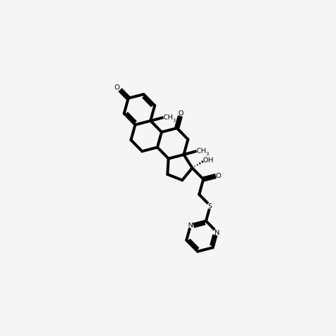 CC12C=CC(=O)C=C1CCC1C2C(=O)CC2(C)C1CC[C@]2(O)C(=O)CSc1ncccn1